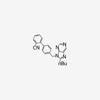 CCCCc1nc2cncnc2n1Cc1ccc(-c2ccccc2C#N)cc1